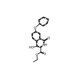 CCOC(=O)c1[nH]c(=O)c2cc(Oc3ccccc3)ccc2c1O